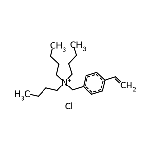 C=Cc1ccc(C[N+](CCCC)(CCCC)CCCC)cc1.[Cl-]